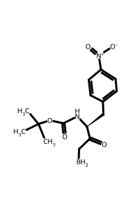 BCC(=O)[C@H](Cc1ccc([N+](=O)[O-])cc1)NC(=O)OC(C)(C)C